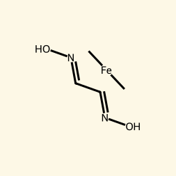 ON=CC=NO.[CH3][Fe][CH3]